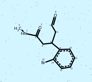 CNC(=O)CC(CC=O)c1ccccc1Br